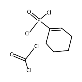 O=C(Cl)Cl.O=P(Cl)(Cl)C1=CCCCC1